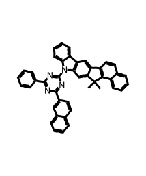 CC1(C)c2cc3c(cc2-c2ccc4ccccc4c21)c1ccccc1n3-c1nc(-c2ccccc2)nc(-c2ccc3ccccc3c2)n1